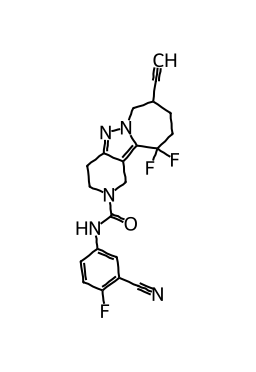 C#CC1CCC(F)(F)c2c3c(nn2C1)CCN(C(=O)Nc1ccc(F)c(C#N)c1)C3